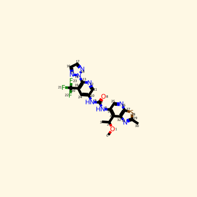 COC(C)c1c(NC(=O)Nc2cnc(-n3nccn3)c(C(F)(F)F)c2)cnc2sc(C)nc12